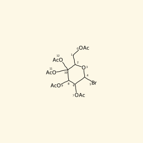 CC(=O)OCC1OC(Br)C(OC(C)=O)C(OC(C)=O)C1(OC(C)=O)OC(C)=O